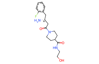 N[C@@H](CC(=O)N1CCC(C(=O)NCCO)CC1)Cc1ccccc1F